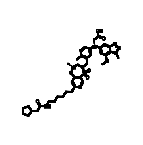 COc1cc([C@@H](CC(=O)O)c2ccc(C)c(CN3C[C@@H](C)Oc4cc(CCCCCCNC(=O)CC5CCCC5)ncc4S3(=O)=O)c2)cc2nnn(C)c12